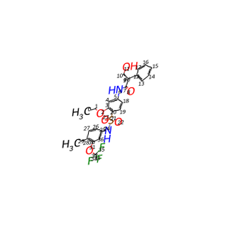 CCOc1cc(NC(=O)[C@@H](CO)c2ccccc2)ccc1S(=O)(=O)Nc1ccc(C)c(OC(F)(F)F)c1